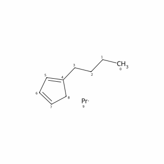 CCCCC1=CC=CC1.[Pr]